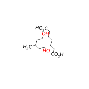 CC(CCO)CCO.O=C(O)CCCCCC(=O)O